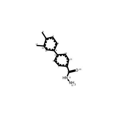 Cc1ccc(-c2ccc(C(=O)NN)cc2)cc1C